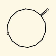 O=C1CCCCCCCSCCCCC1